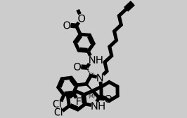 C#CCCCCCCCCN1[C@@H](C(=O)Nc2ccc(C(=O)OC)cc2)C(c2cccc(Cl)c2F)[C@]2(C(=O)Nc3cc(Cl)ccc32)C12CCCCC2